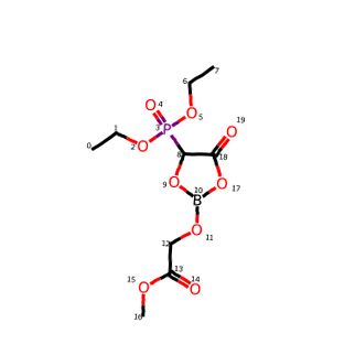 CCOP(=O)(OCC)C1OB(OCC(=O)OC)OC1=O